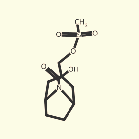 CS(=O)(=O)OCC1CC2CCC(C1)N2C(=O)O